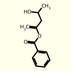 C=C(CC(C)O)OC(=O)c1ccccc1